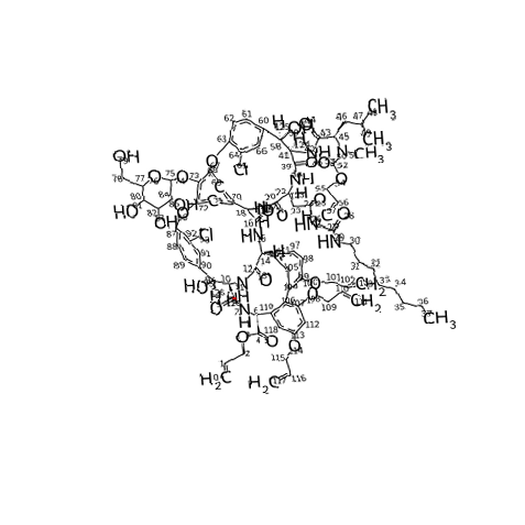 C=CCOC(=O)[C@H]1NC(=O)[C@H]2NC(=O)[C@H](NC(=O)[C@@H]3NC(=O)[C@H](CC(=O)NC(=O)NCCCCCCCC)NC(=O)[C@H](NC(=O)[C@@H](CC(C)C)N(C)C(=O)OCC=C)[C@H](O)c4ccc(c(Cl)c4)Oc4cc3cc(c4OC3OC(CO)C(O)C(O)C3O)Oc3ccc(cc3Cl)[C@H]2O)c2ccc(OCC=C)c(c2)-c2c(OCC=C)cc(OCC=C)cc21